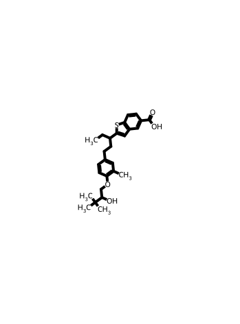 CCC(CCc1ccc(OCC(O)C(C)(C)C)c(C)c1)c1cc2cc(C(=O)O)ccc2s1